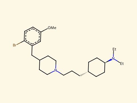 CCN(CC)[C@H]1CC[C@H](CCCN2CCC(Cc3cc(OC)ccc3Br)CC2)CC1